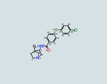 O=C(NC1CN2CC[C@H]1C2)c1ccc(Sc2ccc(Cl)cc2)cc1